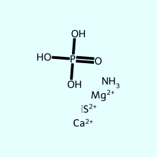 N.O=P(O)(O)O.[Ca+2].[Mg+2].[S+2]